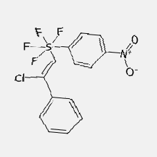 O=[N+]([O-])c1ccc(S(F)(F)(F)(F)C=C(Cl)c2ccccc2)cc1